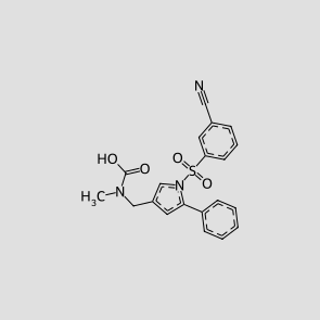 CN(Cc1cc(-c2ccccc2)n(S(=O)(=O)c2cccc(C#N)c2)c1)C(=O)O